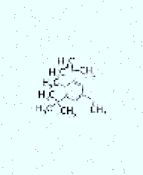 CCc1cc(C(C)(C)C)c(C)c(C(C)(C)C)c1